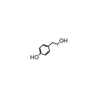 O[CH]Cc1ccc(O)cc1